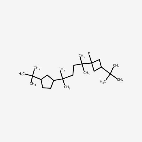 CC(C)(C)C1CCC(C(C)(C)CCC(C)(C)C2(F)CC(C(C)(C)C)C2)C1